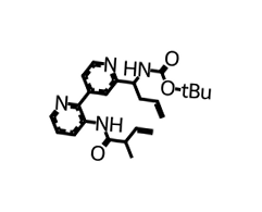 C=CCC(NC(=O)OC(C)(C)C)c1cc(-c2ncccc2NC(=O)C(C)C=C)ccn1